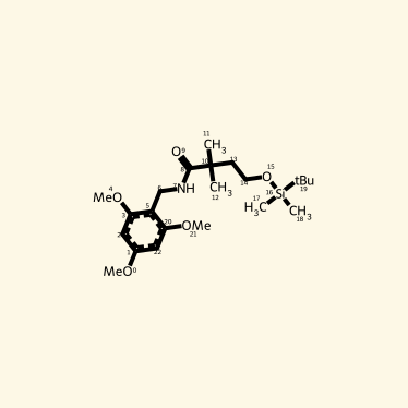 COc1cc(OC)c(CNC(=O)C(C)(C)CCO[Si](C)(C)C(C)(C)C)c(OC)c1